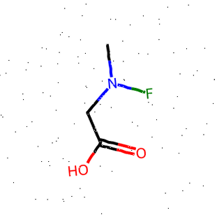 CN(F)CC(=O)O